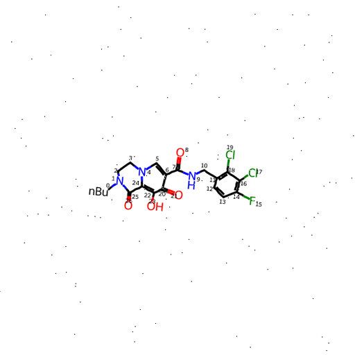 CCCCN1CCn2cc(C(=O)NCc3ccc(F)c(Cl)c3Cl)c(=O)c(O)c2C1=O